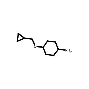 NC1CCC(OCC2CC2)CC1